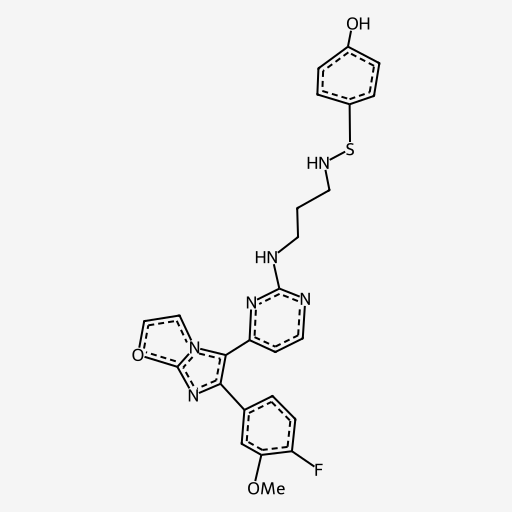 COc1cc(-c2nc3occn3c2-c2ccnc(NCCCNSc3ccc(O)cc3)n2)ccc1F